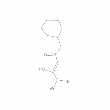 CCCC(CC)/C(O)=C/C(=O)CC1CCCCC1